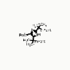 CCCCCC(C)(C)c1nc(C(C)CCC)c(C(C)(C)CCCCC)[nH]1